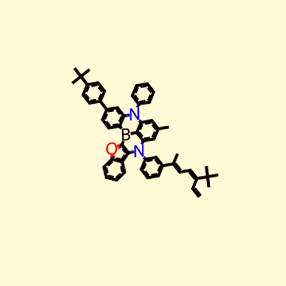 C=C/C(=C\C=C(/C)c1cccc(N2c3cc(C)cc4c3B(c3ccc(-c5ccc(C(C)(C)C)cc5)cc3N4c3ccccc3)c3oc4ccccc4c32)c1)C(C)(C)C